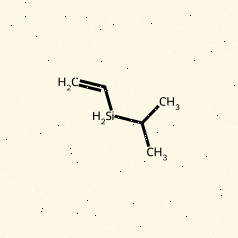 C=C[SiH2]C(C)C